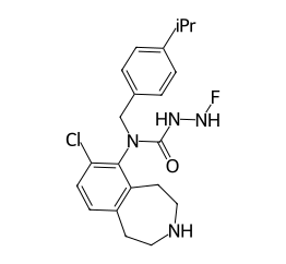 CC(C)c1ccc(CN(C(=O)NNF)c2c(Cl)ccc3c2CCNCC3)cc1